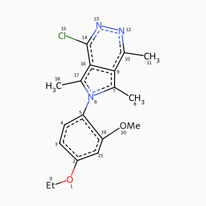 CCOc1ccc(-n2c(C)c3c(C)nnc(Cl)c3c2C)c(OC)c1